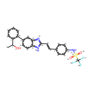 CC(O)c1ccccc1-c1ccc2[nH]c(/C=C/c3ccc(NS(=O)(=O)C(F)(F)F)cc3)nc2c1